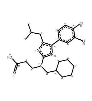 CC(C)Cc1sc(N(CCC(=O)O)CC2CCCCC2)nc1-c1ccc(Cl)c(Cl)c1